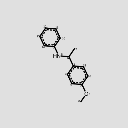 COc1ccc(C(C)Nc2ccccc2)cc1